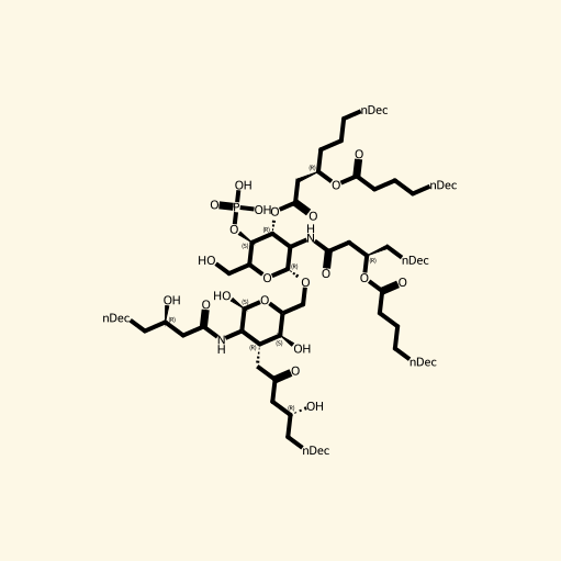 CCCCCCCCCCCCCC(=O)O[C@H](CCCCCCCCCCC)CC(=O)NC1[C@H](OCC2O[C@H](O)C(NC(=O)C[C@H](O)CCCCCCCCCCC)[C@@H](CC(=O)C[C@H](O)CCCCCCCCCCC)[C@@H]2O)OC(CO)[C@@H](OP(=O)(O)O)[C@@H]1OC(=O)C[C@@H](CCCCCCCCCCCCC)OC(=O)CCCCCCCCCCCCC